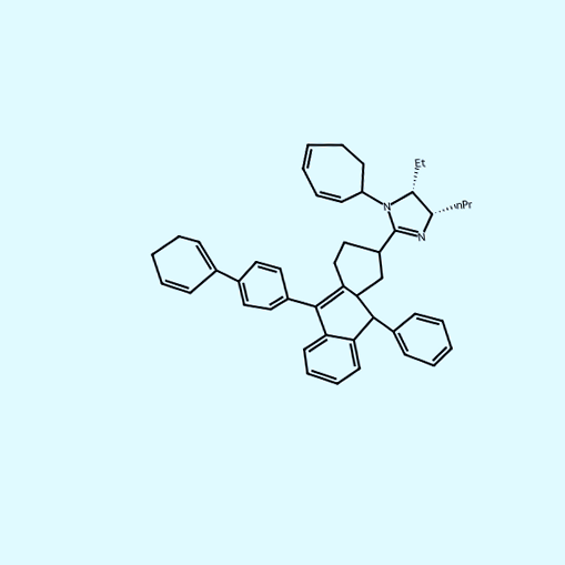 CCC[C@@H]1N=C(C2CCC3=C(c4ccc(C5=CCCC=C5)cc4)c4ccccc4C(c4ccccc4)C3C2)N(C2C=CC=CCC2)[C@@H]1CC